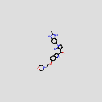 CC1Nc2ccc(-n3ccc(C(=O)c4cc5ccc(OCCN6CCOCC6)cc5[nH]4)c3N)cc2N1